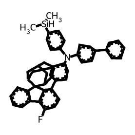 C[SiH](C)c1ccc(N(c2ccc(-c3ccccc3)cc2)c2ccc(-c3ccc(F)c4c3C3(c5ccccc5-4)C4CC5CC(C4)CC3C5)cc2)cc1